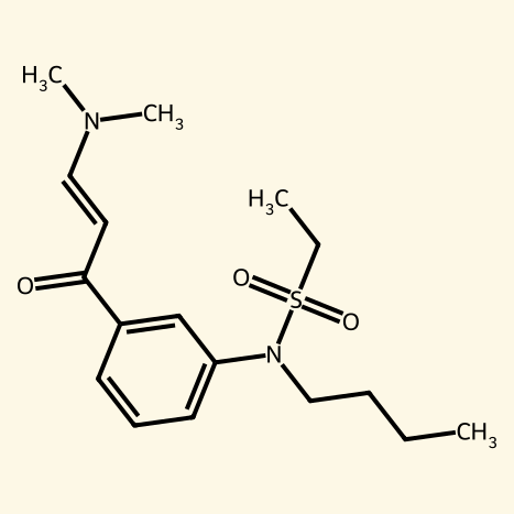 CCCCN(c1cccc(C(=O)/C=C/N(C)C)c1)S(=O)(=O)CC